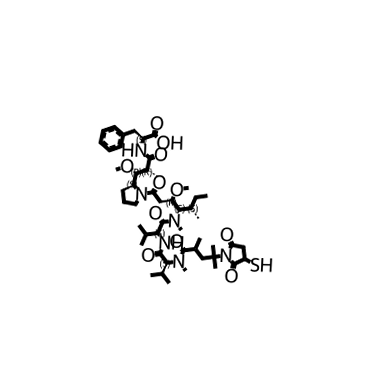 CC[C@H](C)[C@@H]([C@@H](CC(=O)N1CCC[C@H]1[C@H](OC)[C@@H](C)C(=O)N[C@@H](Cc1ccccc1)C(=O)O)OC)N(C)C(=O)[C@@H](NC(=O)[C@H](C(C)C)N(C)C(=O)C(C)CC(C)(C)N1C(=O)CC(S)C1=O)C(C)C